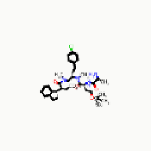 C[C@H](N)C(=O)N[C@@H](CCO[Si](C)(C)C(C)(C)C)C(=O)N(C)[C@H](CCc1ccc(Cl)cc1)CN(C)C(=O)[C@@H](CC(=O)O)[C@@H]1CCc2ccccc21